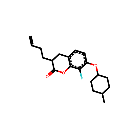 C=CCCC1Cc2ccc(OC3CCC(C)CC3)c(F)c2OC1=O